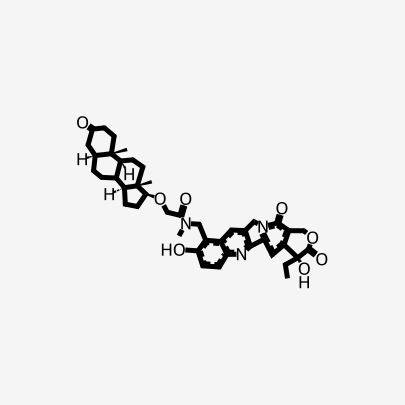 CC[C@@]1(O)C(=O)OCc2c1cc1n(c2=O)Cc2cc3c(CN(C)C(=O)CO[C@H]4CC[C@H]5C6CC[C@H]7CC(=O)CC[C@]7(C)[C@H]6CC[C@]45C)c(O)ccc3nc2-1